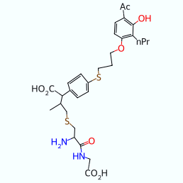 CCCc1c(OCCCSc2ccc(C(C(=O)O)C(C)CSCC(N)C(=O)NCC(=O)O)cc2)ccc(C(C)=O)c1O